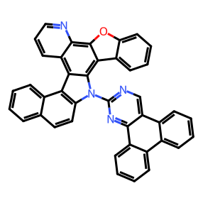 c1ccc2c(c1)ccc1c2c2c3cccnc3c3oc4ccccc4c3c2n1-c1ncc2c3ccccc3c3ccccc3c2n1